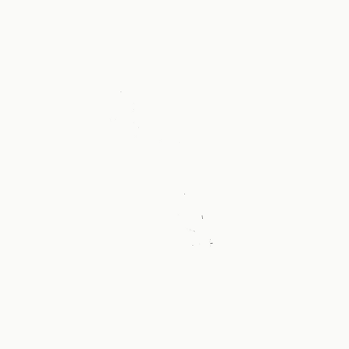 O=C(O)c1cc(-c2csc(C(O)C(F)F)c2)c2ccc(-c3ccc(C(F)(F)F)cc3)cc2c1